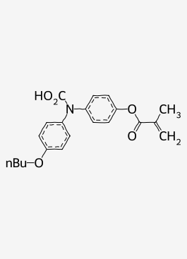 C=C(C)C(=O)Oc1ccc(N(C(=O)O)c2ccc(OCCCC)cc2)cc1